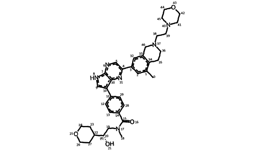 Cc1cc(-c2cnc3[nH]cc(-c4ccc(C(=O)N(C)C[C@H](O)C5CCOCC5)cc4)c3n2)cc2c1CCN(CCN1CCOCC1)C2